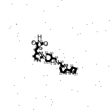 O=C1NC(=O)C(=Cc2ccnc(N3CCC(CNCc4cccc(-c5ccc[nH]5)n4)CC3)n2)S1